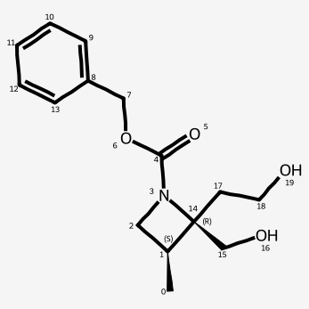 C[C@H]1CN(C(=O)OCc2ccccc2)[C@]1(CO)CCO